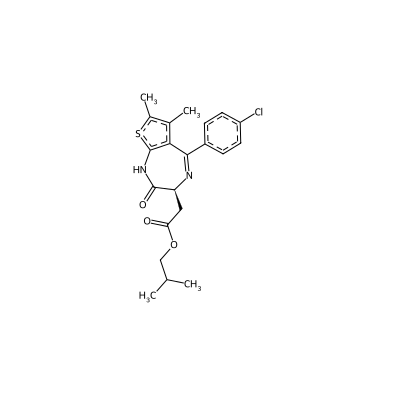 Cc1sc2c(c1C)C(c1ccc(Cl)cc1)=N[C@@H](CC(=O)OCC(C)C)C(=O)N2